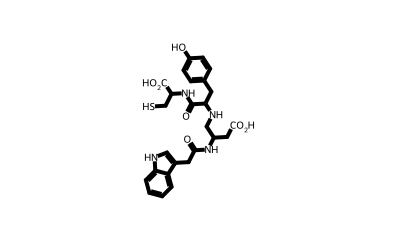 O=C(O)CC(CNC(Cc1ccc(O)cc1)C(=O)NC(CS)C(=O)O)NC(=O)Cc1c[nH]c2ccccc12